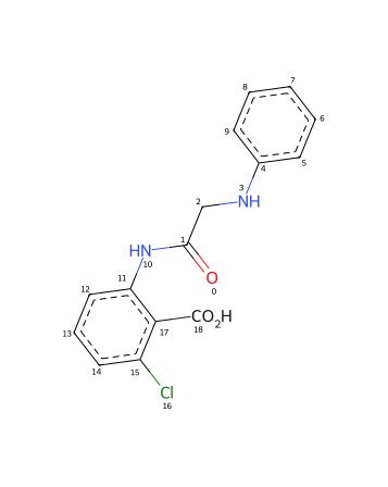 O=C(CNc1ccccc1)Nc1cccc(Cl)c1C(=O)O